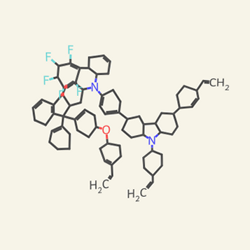 C=CC1=CCC(OC2CC=C(C3(C4=CCCCC4)C4=C(C=CCC4)C4C=CC(N(C5=CC=C(C6CCC7C(C6)C6CC(C8C=CC(C=C)CC8)CCC6N7C6CCC(C=C)CC6)CC5)C5CC=CCC5C5=C(F)C(F)C(F)C(F)C5F)CC43)CC2)CC1